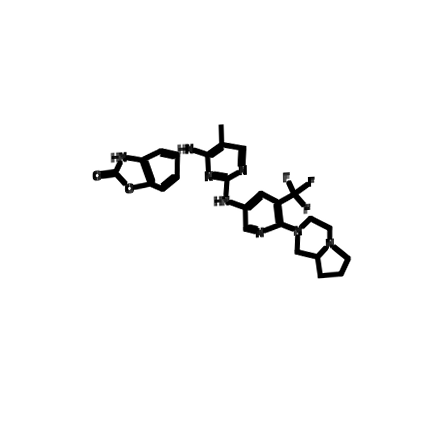 Cc1cnc(Nc2cnc(N3CCN4CCCC4C3)c(C(F)(F)F)c2)nc1Nc1ccc2oc(=O)[nH]c2c1